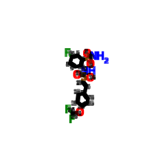 NS(=O)(=O)c1cc(F)ccc1NS(=O)(=O)C=Cc1ccc(OC(F)F)cc1